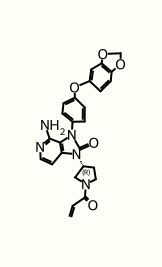 C=CC(=O)N1CC[C@@H](n2c(=O)n(-c3ccc(Oc4ccc5c(c4)OCO5)cc3)c3c(N)nccc32)C1